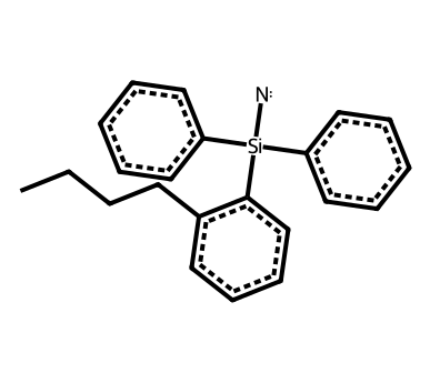 CCCCc1ccccc1[Si]([N])(c1ccccc1)c1ccccc1